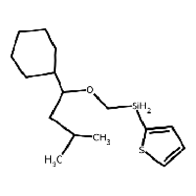 CC(C)CC(OC[SiH2]c1cccs1)C1CCCCC1